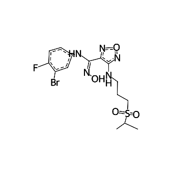 CC(C)S(=O)(=O)CCCNc1nonc1C(=NO)Nc1ccc(F)c(Br)c1